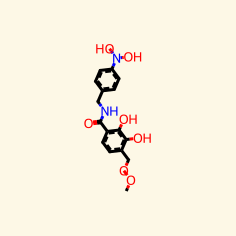 COOCc1ccc(C(=O)NCc2ccc(N(O)O)cc2)c(O)c1O